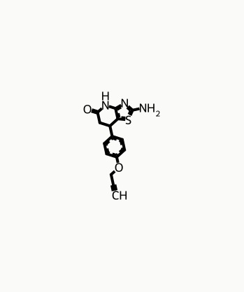 C#CCOc1ccc(C2CC(=O)Nc3nc(N)sc32)cc1